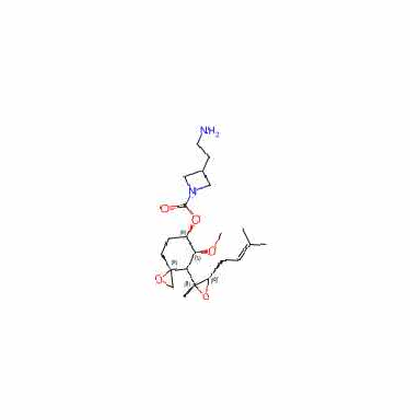 CO[C@H]1C([C@@]2(C)O[C@@H]2CC=C(C)C)[C@]2(CC[C@H]1OC(=O)N1CC(CCN)C1)CO2